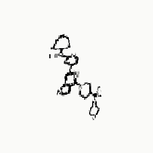 O=C(C1CCN(c2nc(-c3ccnc(NC4CCCCC4)c3)cc3cnccc23)CC1)N1CCOCC1